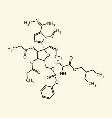 C=Nn1c(/C(N)=N\C)ccc1[C@]1(/C=N\C)O[C@H](CO[P@@](=O)(N[C@@H](C)C(=O)OCC(CC)CC)Oc2ccccc2)[C@@H](OC(=O)CC)[C@H]1OC(=O)CC